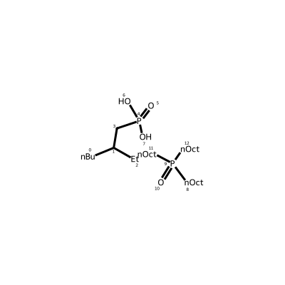 CCCCC(CC)CP(=O)(O)O.CCCCCCCCP(=O)(CCCCCCCC)CCCCCCCC